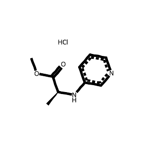 COC(=O)[C@H](C)Nc1cccnc1.Cl